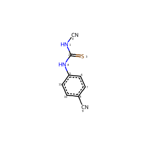 N#CNC(=S)Nc1ccc(C#N)cc1